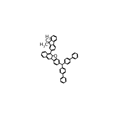 CC1(C)c2ccccc2-c2ccc(C3=c4ccccc4=CC4c5ccc(C(c6ccc(-c7ccccc7)cc6)c6ccc(-c7ccccc7)cc6)cc5OC34)cc21